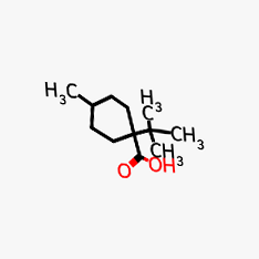 CC1CCC(C(=O)O)(C(C)(C)C)CC1